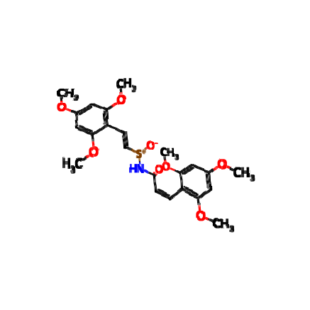 COc1cc(OC)c(/C=C\C(=O)N[S+]([O-])/C=C/c2c(OC)cc(OC)cc2OC)c(OC)c1